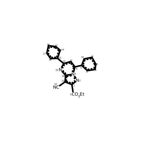 CCOC(=O)c1nn2c(-c3ccccc3)cc(-c3ccccc3)nc2c1C#N